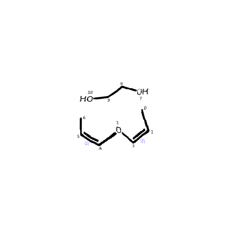 C/C=C\O/C=C\C.OCCO